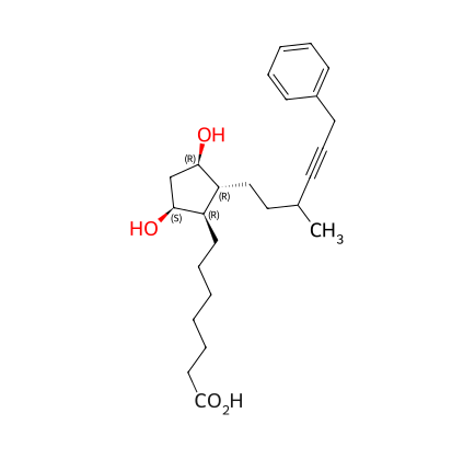 CC(C#CCc1ccccc1)CC[C@@H]1[C@@H](CCCCCCC(=O)O)[C@@H](O)C[C@H]1O